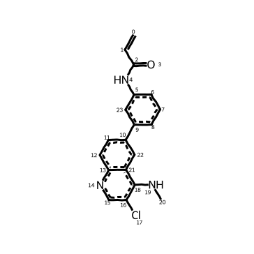 C=CC(=O)Nc1cccc(-c2ccc3ncc(Cl)c(NC)c3c2)c1